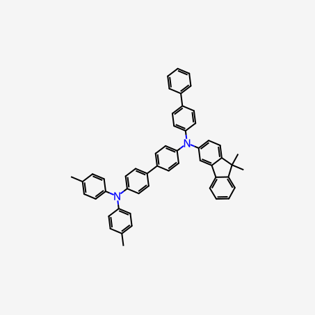 Cc1ccc(N(c2ccc(C)cc2)c2ccc(-c3ccc(N(c4ccc(-c5ccccc5)cc4)c4ccc5c(c4)-c4ccccc4C5(C)C)cc3)cc2)cc1